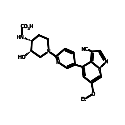 CCOc1cc(-c2ccc(N3CC[C@@H](NC(=O)O)[C@@H](O)C3)nc2)c2c(C#N)cnn2c1